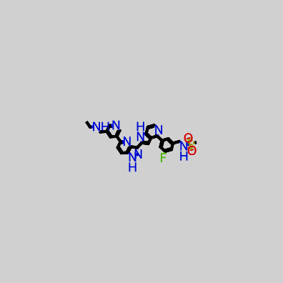 CCNCc1cncc(-c2ccc3[nH]nc(-c4cc5c(-c6cc(F)cc(CNS(C)(=O)=O)c6)nccc5[nH]4)c3n2)c1